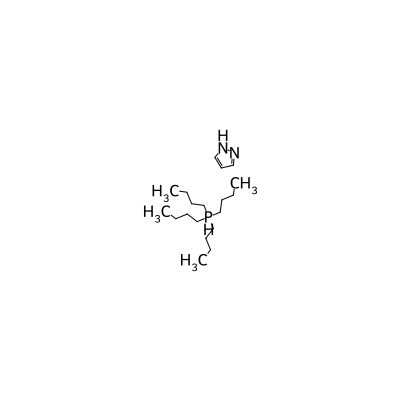 CCCC[PH](CCCC)(CCCC)CCCC.c1cn[nH]c1